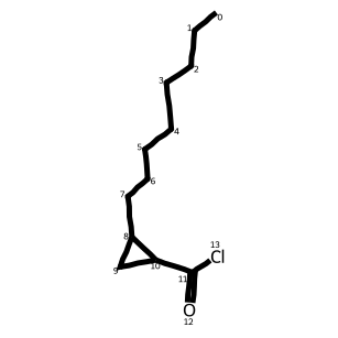 CCCCCCCCC1CC1C(=O)Cl